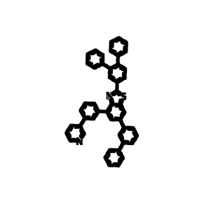 c1ccc(-c2cccc(-c3cc(-c4cccc(-c5cccnc5)c4)c4nc(-c5ccc(-c6ccccc6)c(-c6ccccc6)c5)sc4c3)c2)cc1